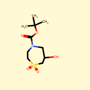 CC(C)(C)OC(=O)N1CCS(=O)(=O)CC(O)C1